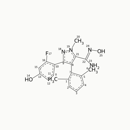 Cc1cccc(C)c1-c1c(-c2ccc(O)cc2F)nn(C)c1/C(N)=N/O